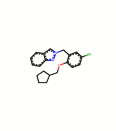 Brc1ccc(OCC2CCCC2)c(Cn2cc3ccccc3n2)c1